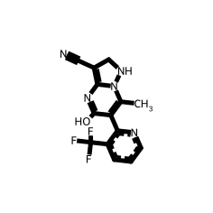 CC1=C(c2ncccc2C(F)(F)F)C(O)=NC2=C(C#N)CNN12